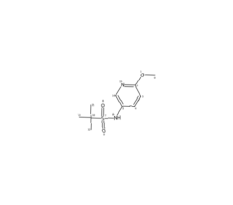 COc1ccc(NS(=O)(=O)C(C)(C)C)cn1